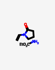 C=CN1CCCC1=O.CCOC(N)=O